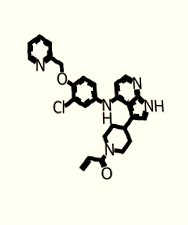 C=CC(=O)N1CCC(c2c[nH]c3nccc(Nc4ccc(OCc5ccccn5)c(Cl)c4)c23)CC1